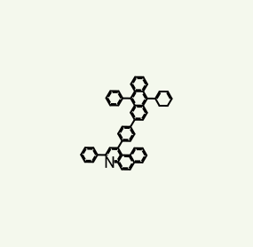 C1=CCCC(c2c3ccccc3c(-c3ccccc3)c3cc(-c4ccc(-c5cc(-c6ccccc6)nc6ccc7ccccc7c56)cc4)ccc23)=C1